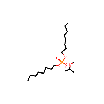 CC(C)[O][Ti].CCCCCCCCOP(=O)(O)OCCCCCCCC